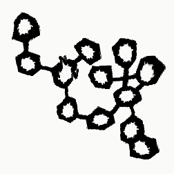 c1ccc(-c2cccc(-c3cc(-c4cccc(-c5cccc(-c6cc7c(cc6-c6ccc8ccccc8c6)-c6ccccc6C7(c6ccccc6)c6ccccc6)c5)c4)nc(-c4ccccc4)n3)c2)cc1